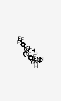 CN(C)[C@]1(CCc2ccc(C(F)(F)F)cc2)CCCN(c2ccc(S(=O)(=O)Nc3ccncn3)c(F)c2)C1